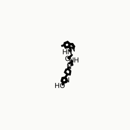 Cc1ccc2ccnc(NCC(=O)NC3CN(C4CCC(c5ccc(O)cn5)CC4)C3)c2c1